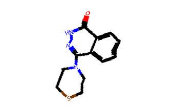 O=c1[nH]nc(N2CCSCC2)c2ccccc12